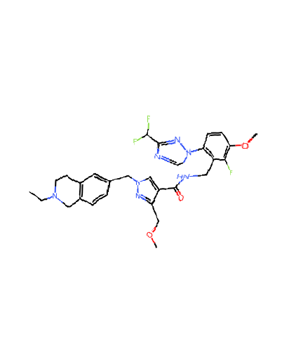 CCN1CCc2cc(Cn3cc(C(=O)NCc4c(-n5cnc(C(F)F)n5)ccc(OC)c4F)c(COC)n3)ccc2C1